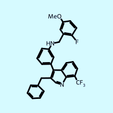 COc1ccc(F)c(CNc2cccc(-c3c(Cc4ccccc4)cnc4c(C(F)(F)F)cccc34)c2)c1